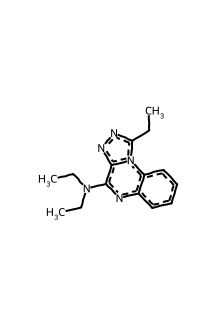 CCc1nnc2c(N(CC)CC)nc3ccccc3n12